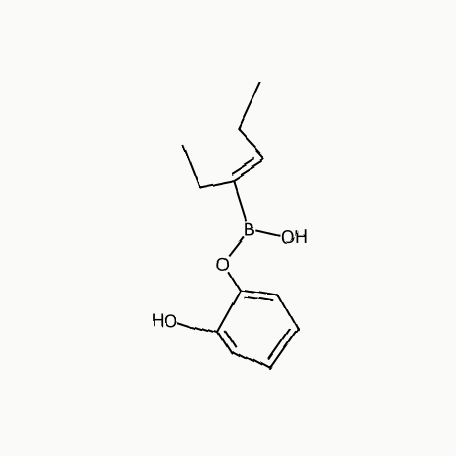 CC/C=C(\CC)B(O)Oc1ccccc1O